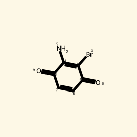 NC1=C(Br)C(=O)C=CC1=O